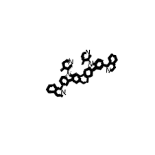 Cc1ccncc1-n1c2ccc(-c3nccc4ccccc34)cc2c2cc3c(cc21)-c1cc2c(cc1CC3)c1cc(-c3nccc4ccccc34)ccc1n2-c1cnccc1C